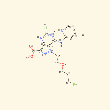 COC(=O)c1nn(CCOCCCF)c2c(Nc3cc(C)ccn3)nc(Cl)nc12